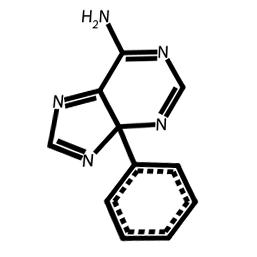 NC1=NC=NC2(c3ccccc3)N=CN=C12